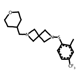 Cc1cc(C(F)(F)F)ccc1SN1CC2(CN(CC3CCOCC3)C2)C1